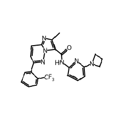 Cc1nc2ccc(-c3ccccc3C(F)(F)F)nn2c1C(=O)Nc1cccc(N2CCC2)n1